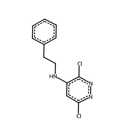 Clc1cc(NCCc2ccccc2)c(Cl)nn1